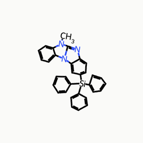 Cn1c2ccccc2n2c3cc([Si](c4ccccc4)(c4ccccc4)c4ccccc4)ccc3nc12